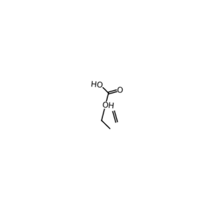 C=C.CCC.O=C(O)O